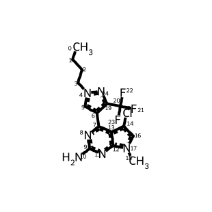 CCCCn1cc(-c2nc(N)nc3c2c(Cl)cn3C)c(C(F)(F)F)n1